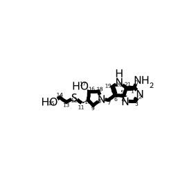 Nc1ncnc2c(CN3C[C@H](CSCCO)[C@H](O)C3)c[nH]c12